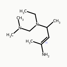 CCN(CN(C)C)C(C)/C=C(\C)N